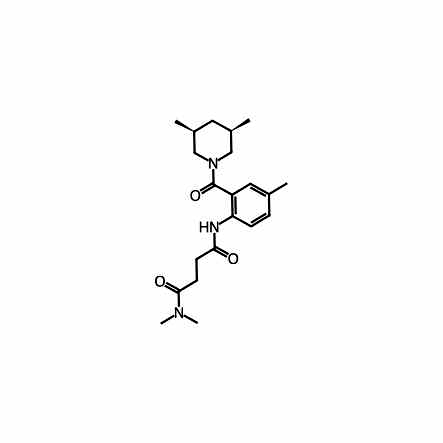 Cc1ccc(NC(=O)CCC(=O)N(C)C)c(C(=O)N2C[C@H](C)C[C@H](C)C2)c1